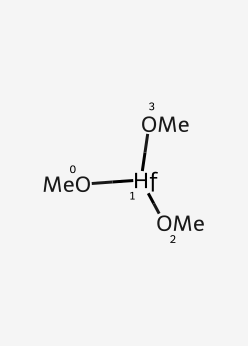 C[O][Hf]([O]C)[O]C